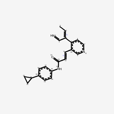 C/C=C(\C=N)c1ccncc1/C=C/C(=O)Nc1ccc(C2CC2)cc1